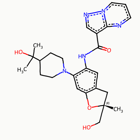 CC(C)(O)C1CCN(c2cc3c(cc2NC(=O)c2cnn4cccnc24)C[C@](C)(CO)O3)CC1